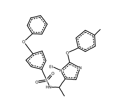 CCn1c(C(C)NS(=O)(=O)c2ccc(Oc3ccccc3)cc2)cnc1Oc1ccc(C)cc1